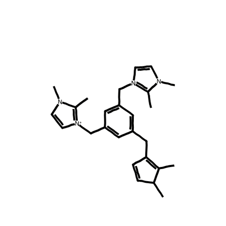 CC1=C(Cc2cc(C[n+]3ccn(C)c3C)cc(C[n+]3ccn(C)c3C)c2)C=CC1C